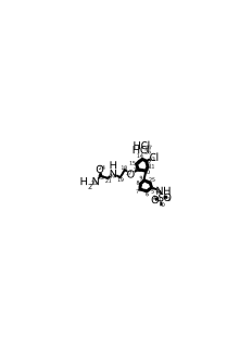 CS(=O)(=O)Nc1cccc(-c2cc(Cl)ccc2OCCNCC(N)=O)c1.Cl.Cl